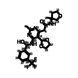 Cc1nc(CC(=O)NC2(C)CCOC2)c(C2OCCO2)c(N[C@H](O)c2cccc(C(F)(F)F)c2)n1